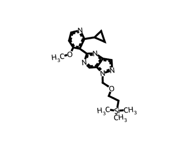 COc1ccnc(C2CC2)c1-c1ncc2c(cnn2COCC[Si](C)(C)C)n1